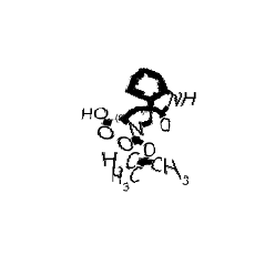 CC(C)(C)OC(=O)N1C[C@]2(C[C@H]1C(=O)O)C(=O)Nc1ccccc12